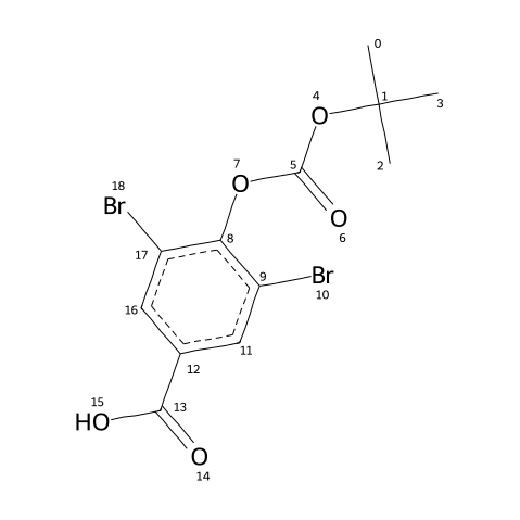 CC(C)(C)OC(=O)Oc1c(Br)cc(C(=O)O)cc1Br